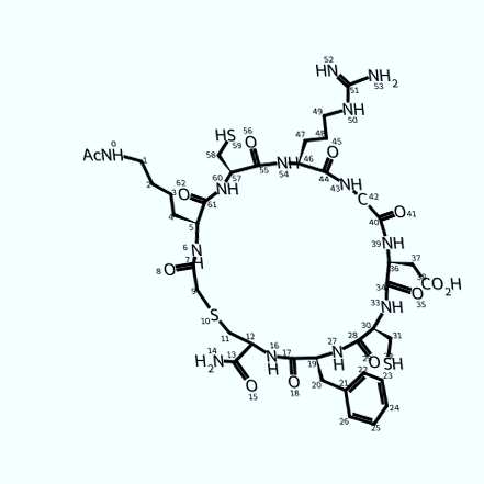 CC(=O)NCCCC[C@@H]1NC(=O)CSCC(C(N)=O)NC(=O)[C@H](Cc2ccccc2)NC(=O)[C@H](CS)NC(=O)[C@H](CC(=O)O)NC(=O)CNC(=O)[C@H](CCCNC(=N)N)NC(=O)[C@H](CS)NC1=O